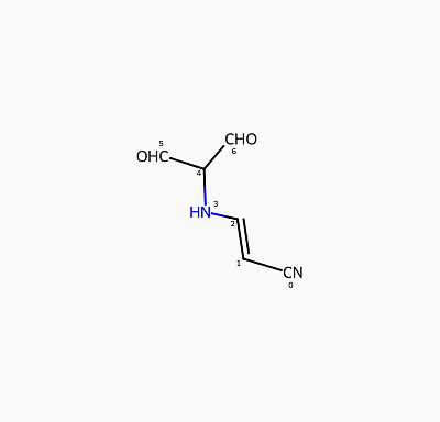 N#C/C=C/NC(C=O)C=O